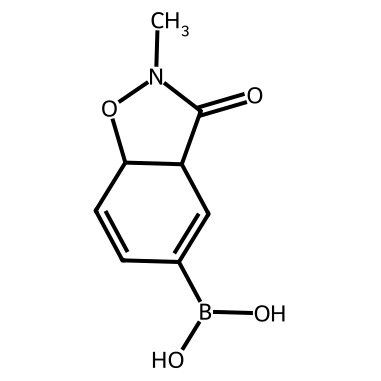 CN1OC2C=CC(B(O)O)=CC2C1=O